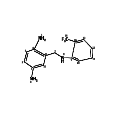 Nc1ccc(N)c(CNc2ccccc2C(F)(F)F)c1